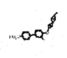 CC1C2C1C21C2C(Oc3ccc(-c4ccc(C(=O)O)cc4)cc3F)C21